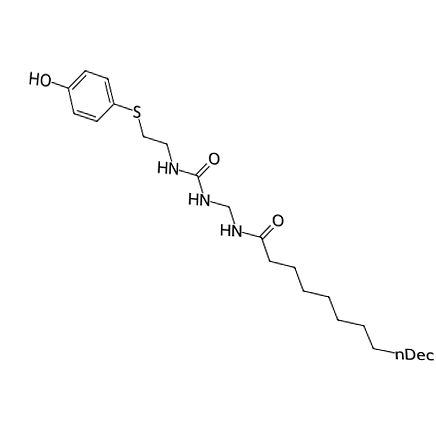 CCCCCCCCCCCCCCCCCC(=O)NCNC(=O)NCCSc1ccc(O)cc1